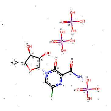 C[C@H]1O[C@@H](n2cc(F)nc(C(N)=O)c2=O)[C@H](O)[C@@H]1O.O=P(O)(O)O.O=P(O)(O)O.O=P(O)(O)O